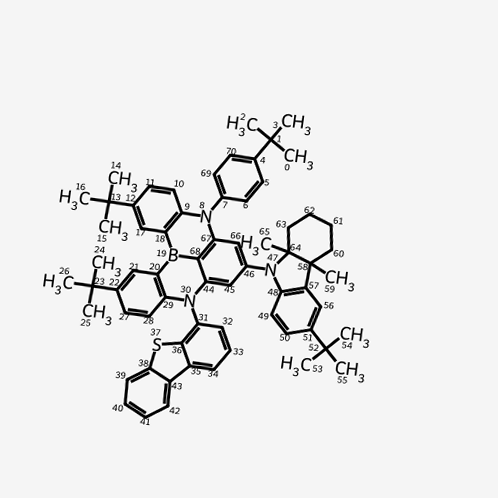 CC(C)(C)c1ccc(N2c3ccc(C(C)(C)C)cc3B3c4cc(C(C)(C)C)ccc4N(c4cccc5c4sc4ccccc45)c4cc(N5c6ccc(C(C)(C)C)cc6C6(C)CCCCC56C)cc2c43)cc1